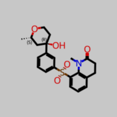 C[C@H]1C[C@@](O)(c2cccc(S(=O)(=O)c3cccc4c3N(C)C(=O)CC4)c2)CCO1